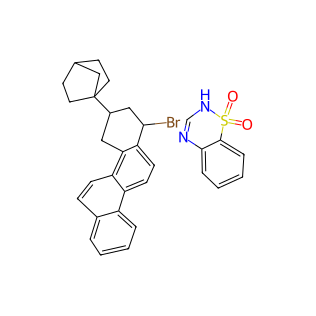 BrC1CC(C23CCC(CC2)C3)Cc2c1ccc1c2ccc2ccccc21.O=S1(=O)NC=Nc2ccccc21